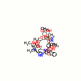 CC[C@H]1OC(=O)[C@H](C)[C@@H](O[C@H]2C[C@@](C)(OC)[C@@H](O)[C@H](C)O2)[C@H](C)[C@@H](O[C@@H]2O[C@H](C)C[C@H](N(C)CCc3cn(C(COCc4ccccc4)COc4ccc(-c5csnn5)cc4)nn3)[C@H]2O)[C@](C)(O)C[C@@H](C)CN(C)[C@H](C)[C@@H](O)[C@]1(C)O